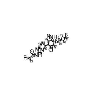 O=C(Nc1cn2cc(-c3c(Cl)c(F)c(N4CC5(C4)CC(F)(F)C5)c4[nH]ncc34)ncc2n1)C1CC1F